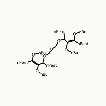 CCCCCC(OCCCC)=C(OCCCC)C(CCCCC)OCOCOC(CCCCC)C(OCCCC)=C(CCCCC)OCCCC